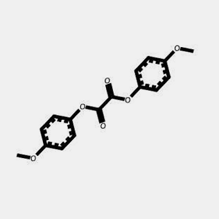 COc1ccc(OC(=O)C(=O)Oc2ccc(OC)cc2)cc1